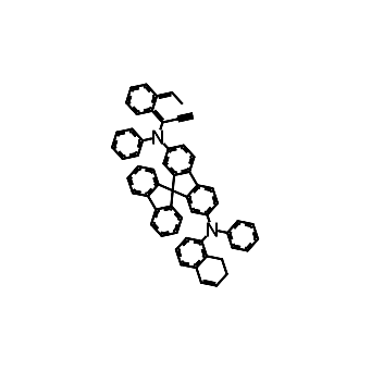 C#C/C(=c1/cccc/c1=C/C)N(c1ccccc1)c1ccc2c(c1)C1(c3ccccc3-c3ccccc31)c1cc(N(c3ccccc3)c3cccc4c3CCC=C4)ccc1-2